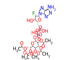 CC(=O)OC[C@@H](OC(C)=O)C1OC(OP(=O)(O)OP(=O)(O)OC[C@H]2O[C@@H](n3cnc4c(N)ncnc43)[C@H](F)[C@@H]2O)C(OC(C)=O)C(OC(C)=O)C1OC(C)=O